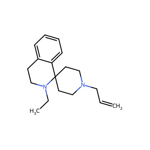 C=CCN1CCC2(CC1)c1ccccc1CCN2CC